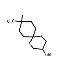 CC(C)(C)C1CSC2(CCC(C)(C(Cl)(Cl)Cl)CC2)SC1